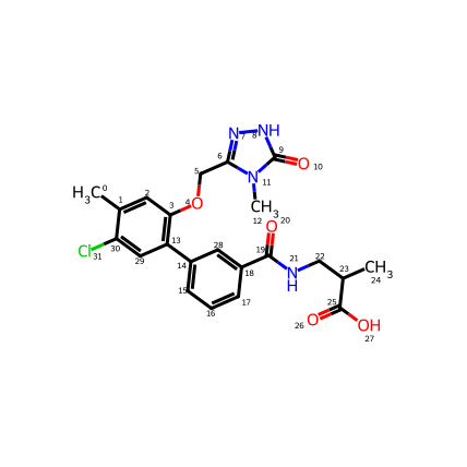 Cc1cc(OCc2n[nH]c(=O)n2C)c(-c2cccc(C(=O)NCC(C)C(=O)O)c2)cc1Cl